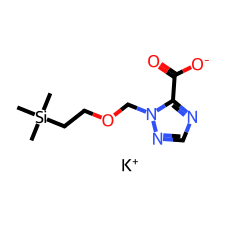 C[Si](C)(C)CCOCn1ncnc1C(=O)[O-].[K+]